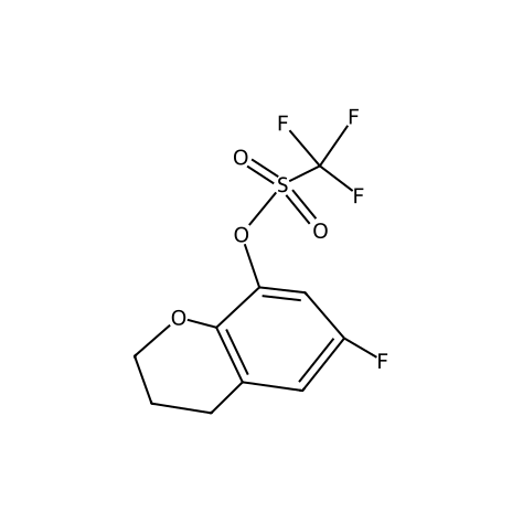 O=S(=O)(Oc1cc(F)cc2c1OCCC2)C(F)(F)F